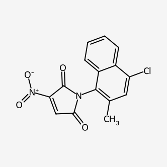 Cc1cc(Cl)c2ccccc2c1N1C(=O)C=C([N+](=O)[O-])C1=O